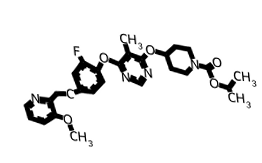 COc1cccnc1CCc1ccc(Oc2ncnc(OC3CCN(C(=O)OC(C)C)CC3)c2C)c(F)c1